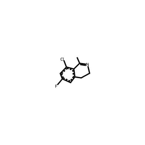 CC1=NCCc2cc(F)cc(Cl)c21